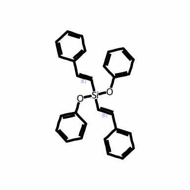 C(=C\[Si](/C=C/c1ccccc1)(Oc1ccccc1)Oc1ccccc1)/c1ccccc1